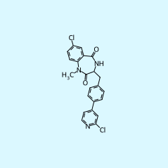 CN1C(=O)C(Cc2ccc(-c3ccnc(Cl)c3)cc2)NC(=O)c2cc(Cl)ccc21